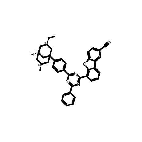 CC[C@@H]1C[C@@H]2C[C@H](C)CC(c3ccc(-c4nc(-c5ccccc5)nc(-c5cccc6c5oc5ccc(C#N)cc56)n4)cc3)(C1)C2